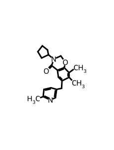 Cc1ccc(Cc2cc3c(c(C)c2C)OCN(C2CCCC2)C3=O)cn1